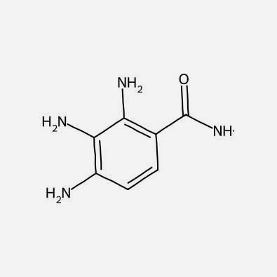 [NH]C(=O)c1ccc(N)c(N)c1N